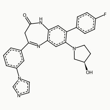 O=C1CC(c2cccc(-n3ccnc3)c2)=Nc2cc(N3CC[C@@H](O)C3)c(-c3ccc(F)cc3)cc2N1